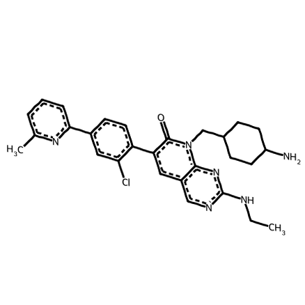 CCNc1ncc2cc(-c3ccc(-c4cccc(C)n4)cc3Cl)c(=O)n(CC3CCC(N)CC3)c2n1